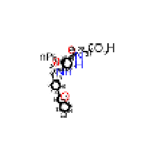 CCCOC[C@H](Cc1ccc(-c2cc3ccccc3o2)cc1)Nc1ccc(C(=O)NCCC(=O)O)cc1